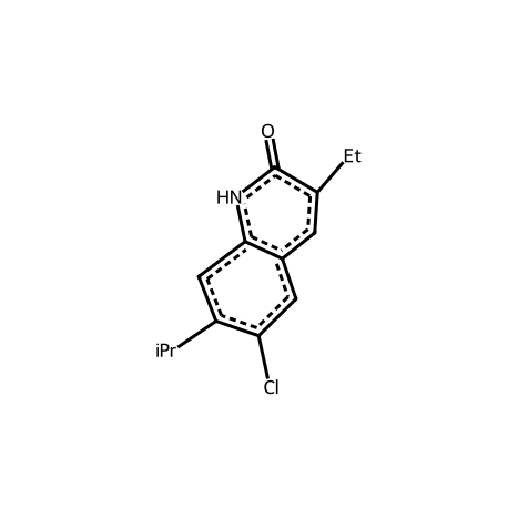 CCc1cc2cc(Cl)c(C(C)C)cc2[nH]c1=O